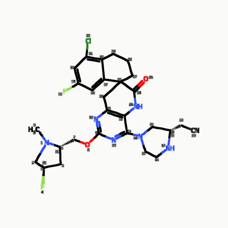 CN1C[C@H](F)C[C@H]1COc1nc2c(c(N3CCN[C@@H](CC#N)C3)n1)NC(=O)C1(CCCc3c(Cl)cc(F)cc31)C2